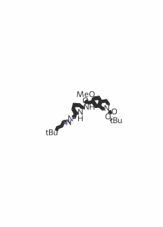 COc1cc2c(cc1C(=O)NC1C=CC=C(/C=N/N=C/CCC(C)(C)C)N1)CN(C(=O)OC(C)(C)C)CC2